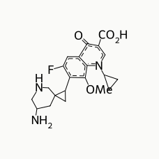 COc1c(C2CC23CNCC(N)C3)c(F)cc2c(=O)c(C(=O)O)cn(C3CC3)c12